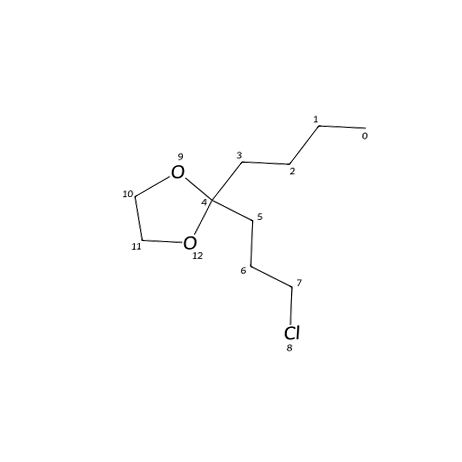 CCCCC1(CCCCl)OCCO1